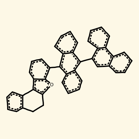 c1ccc2c(c1)CCc1oc3c(-c4c5ccccc5c(-c5cc6ccccc6c6ccccc56)c5ccccc45)cccc3c1-2